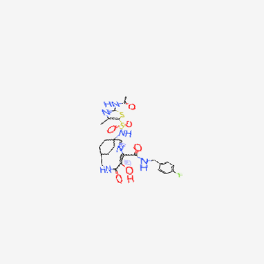 CC(=O)Nc1nc(C)c(S(=O)(=O)NC23/C=N/C(C(=O)NCc4ccc(F)cc4)=C(/O)C(=O)NCC(CC2)CC3)s1